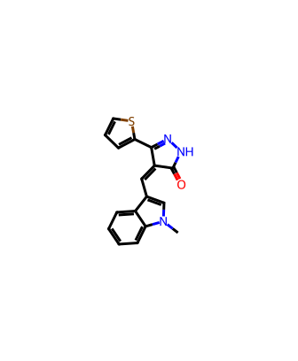 Cn1cc(/C=C2\C(=O)NN=C2c2cccs2)c2ccccc21